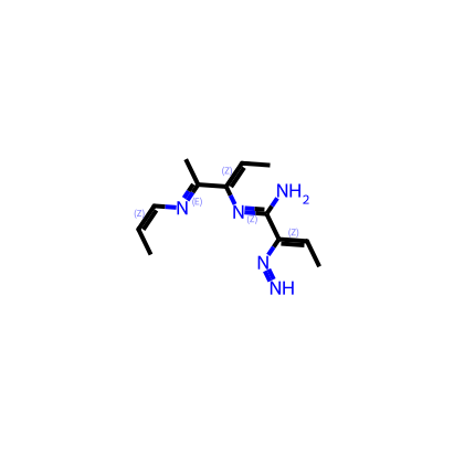 C\C=C/N=C(C)/C(=C/C)/N=C(N)/C(=C/C)N=N